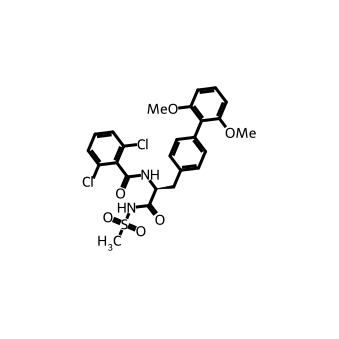 COc1cccc(OC)c1-c1ccc(C[C@H](NC(=O)c2c(Cl)cccc2Cl)C(=O)NS(C)(=O)=O)cc1